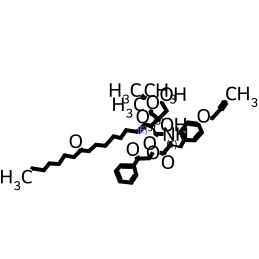 CC#CCOc1ccc(C[C@H](NC(=O)[C@@H](/C=C/CCCCCCC(=O)CCCCCCC)[C@@](O)(CCO)C(=O)OC(C)(C)C)C(=O)OCC(=O)c2ccccc2)cc1